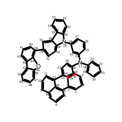 c1ccc(-c2cccc3cccc(-c4ccc(N(c5ccccc5)c5cccc(-n6c7ccccc7c7cc(-c8cccc9c8oc8ccccc89)ccc76)c5)cc4)c23)cc1